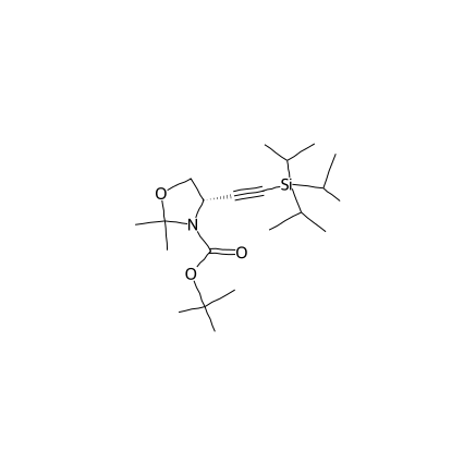 CC(C)[Si](C#C[C@H]1COC(C)(C)N1C(=O)OC(C)(C)C)(C(C)C)C(C)C